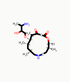 CC[C@H]1OC(=O)CC(=O)[C@H](C)[C@@H](OCC(O)C(C)N)[C@@H](C)C[C@@H](C)CNCC[C@H]1C